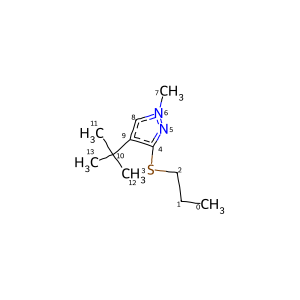 CCCSc1nn(C)cc1C(C)(C)C